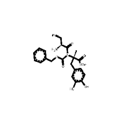 COC(=O)[C@](C)(Cc1ccc(O)c(O)c1)N(C(=O)OCc1ccccc1)C(=O)[C@@H](N)CC(C)C